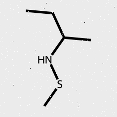 CCC(C)NSC